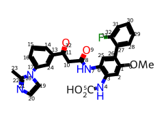 COc1cc(NC(=O)O)c(NC(=O)CC(=O)c2cccc(-n3ccnc3C)c2)cc1-c1ccccc1F